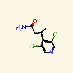 [CH2]C(CC(N)=O)c1c(Cl)cncc1Cl